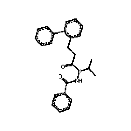 CC(C)N(NC(=O)c1ccccc1)C(=O)CCc1ccccc1-c1ccccc1